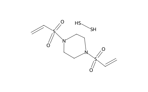 C=CS(=O)(=O)N1CCN(S(=O)(=O)C=C)CC1.SS